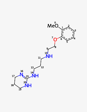 COc1ccccc1OCCNCCCNC1=NCCCN1